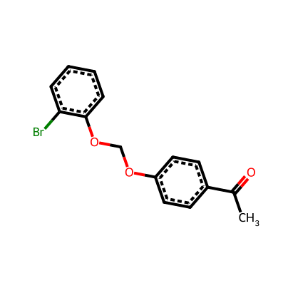 CC(=O)c1ccc(OCOc2ccccc2Br)cc1